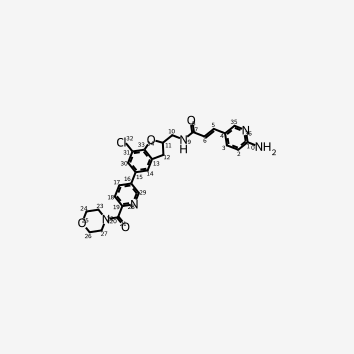 Nc1ccc(C=CC(=O)NCC2Cc3cc(-c4ccc(C(=O)N5CCOCC5)nc4)cc(Cl)c3O2)cn1